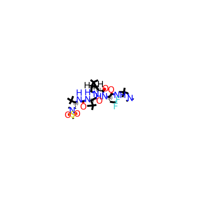 CN(C)CC(C)(C)CNC(=O)[C@H](CC(F)F)NC(=O)[C@@H]1[C@@H]2[C@H](CN1C(=O)[C@@H](NC(=O)N[C@H](CN(C)S(C)(=O)=O)C(C)(C)C)C(C)(C)C)C2(C)C